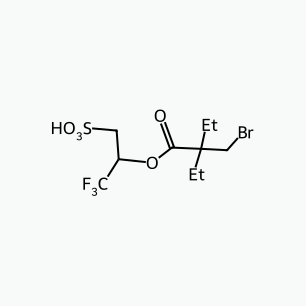 CCC(CC)(CBr)C(=O)OC(CS(=O)(=O)O)C(F)(F)F